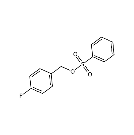 O=S(=O)(OCc1ccc(F)cc1)c1ccccc1